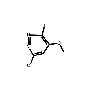 COc1cc(Cl)nnc1I